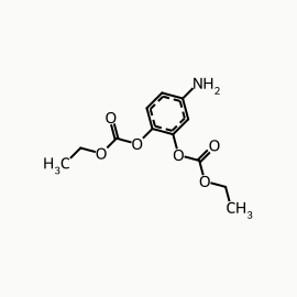 CCOC(=O)Oc1ccc(N)cc1OC(=O)OCC